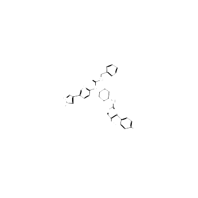 Cn1cc(-c2ccc(N(C(=O)NCc3ccccc3)[C@H]3CC[C@H](Nc4ncc(C#N)c(-c5ccc(C(F)(F)F)cc5)n4)CC3)nc2)cn1